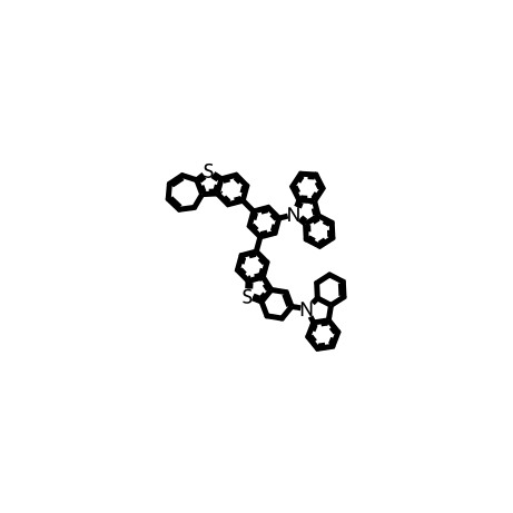 C1=CCc2c(sc3ccc(-c4cc(-c5ccc6sc7c(c6c5)C=C(N5c6ccccc6C6C=CCCC65)CC7)cc(-n5c6ccccc6c6ccccc65)c4)cc23)C=C1